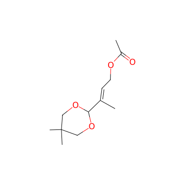 CC(=O)OCC=C(C)C1OCC(C)(C)CO1